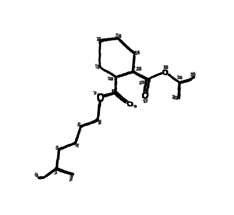 CC(C)CCCCOC(=O)C1CCCCC1C(=O)OC(C)C